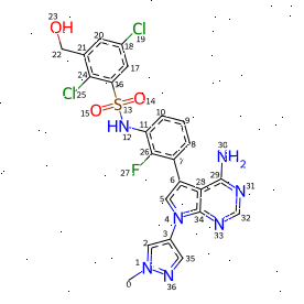 Cn1cc(-n2cc(-c3cccc(NS(=O)(=O)c4cc(Cl)cc(CO)c4Cl)c3F)c3c(N)ncnc32)cn1